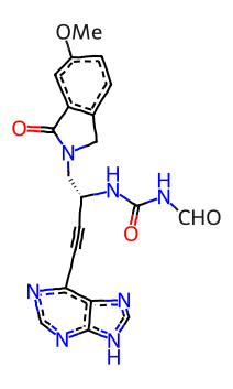 COc1ccc2c(c1)C(=O)N(C[C@@H](C#Cc1ncnc3[nH]cnc13)NC(=O)NC=O)C2